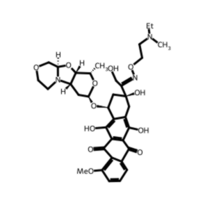 CCN(C)CCO/N=C(\CO)[C@]1(O)Cc2c(O)c3c(c(O)c2[C@@H](O[C@H]2C[C@H]4[C@H](O[C@@H]5COCCN54)[C@H](C)O2)C1)C(=O)c1c(OC)cccc1C3=O